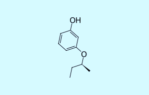 CC[C@H](C)Oc1cccc(O)c1